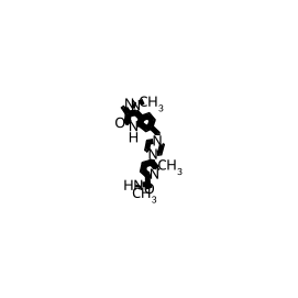 CNC(=O)c1ccc(N2CCN(Cc3ccc4c(c3)[nH]c(=O)c3cnn(C)c34)CC2)c(C)n1